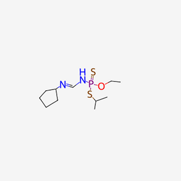 CCOP(=S)(NC=NC1CCCC1)SC(C)C